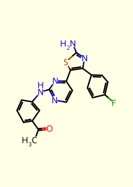 CC(=O)c1cccc(Nc2nccc(-c3sc(N)nc3-c3ccc(F)cc3)n2)c1